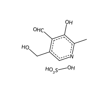 Cc1ncc(CO)c(C=O)c1O.O=S(=O)(O)O